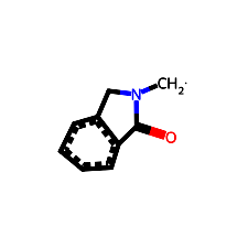 [CH2]N1Cc2ccccc2C1=O